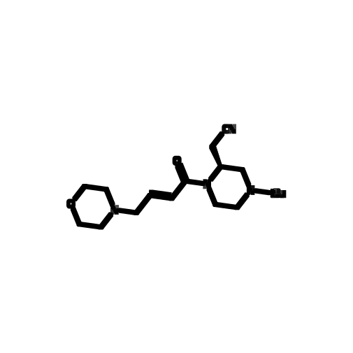 CC(C)(C)N1CCN(C(=O)/C=C/CN2CCOCC2)[C@@H](CC#N)C1